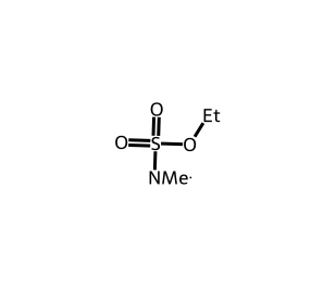 CCOS(=O)(=O)[N]C